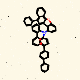 c1ccc(-c2ccc(-c3ccc(N(c4ccccc4-c4ccccc4)c4cccc5oc6c7ccccc7c(-c7ccccc7)cc6c45)cc3)cc2)cc1